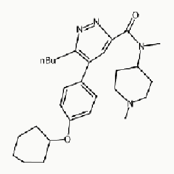 CCCCc1nnc(C(=O)N(C)C2CCN(C)CC2)cc1-c1ccc(OC2CCCCC2)cc1